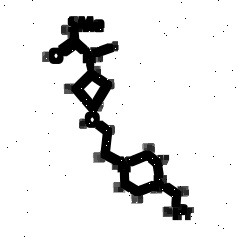 CSC(=O)N(C)[C@H]1C[C@H](OCCN2CCN(CC(C)C)CC2)C1